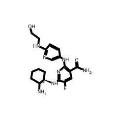 NC(=O)c1cc(F)c(N[C@@H]2CCCCC2N)nc1Nc1ccc(NCCO)nc1